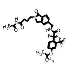 BC(=O)NC(=O)CCCN1Cc2cc(CNC(=O)C(F)(F)c3ccc(OC(C)C)cc3C(F)(F)F)ccc2C1=O